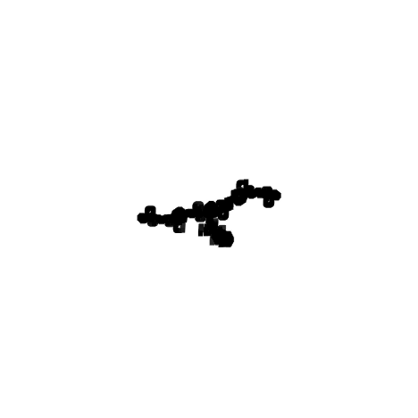 C=CC(=O)OCCCOc1ccc(/C=C/C(=O)Oc2ccc(OC(=O)/C=C/c3ccc(OCCCOC(=O)C=C)c(Cl)c3)c(/C=N/Nc3nc4ccccc4s3)c2)cc1Cl